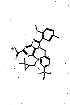 COc1ccc(C)cc1-c1nc2nc(C(=O)O)nc(N[C@H](C)C3CC3(C)C)c2n1Cc1ccc(C(F)(F)F)cc1